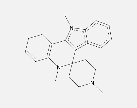 CN1CCC2(CC1)c1c(n(C)c3ccccc13)C1=C(C=CCC1)N2C